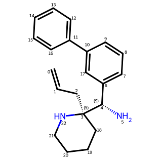 C=CC[C@]1([C@@H](N)c2cccc(-c3ccccc3)c2)CCCCN1